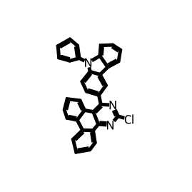 Clc1nc(-c2ccc3c(c2)c2ccccc2n3-c2ccccc2)c2c3ccccc3c3ccccc3c2n1